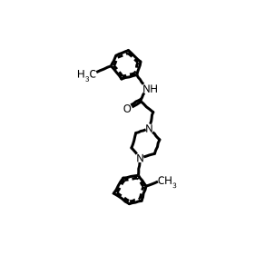 Cc1cccc(NC(=O)CN2CCN(c3ccccc3C)CC2)c1